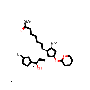 CCC1CCC([C@H](O)C=C[C@@H]2[C@@H](CCCCCCC(=O)OC)[C@@H](OC(C)=O)C[C@H]2OC2CCCCO2)C1